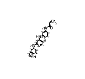 C=CC(=O)Nc1cccc(Nc2nc(Nc3cnc4[nH]ncc4c3)ncc2F)c1